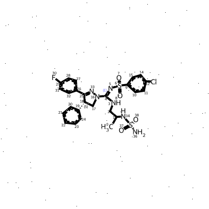 CC(CN/C(=N\S(=O)(=O)c1ccc(Cl)cc1)N1C[C@H](c2ccccc2)C(c2ccc(F)cc2)=N1)NS(N)(=O)=O